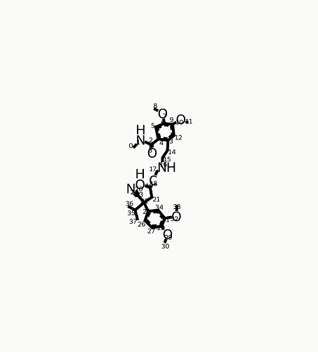 CNC(=O)c1cc(OC)c(OC)cc1CCNCCC(O)CC(C#N)(c1ccc(OC)c(OC)c1)C(C)C